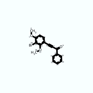 COc1ccc(C#CC(=O)c2ccccc2)c(OC)c1Br